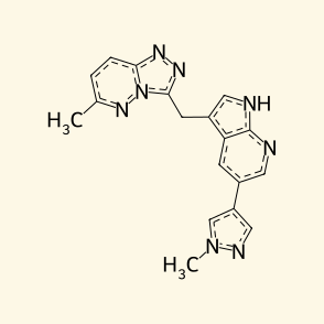 Cc1ccc2nnc(Cc3c[nH]c4ncc(-c5cnn(C)c5)cc34)n2n1